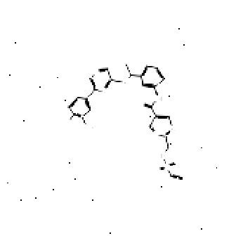 C=CS(=O)(=O)NCc1ncc(C(=O)Nc2cccc(C(C)Nc3cncc(-c4ccc(O)c(OC)c4)n3)c2)cn1